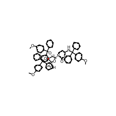 COc1ccc(C(Nc2ccn([C@@H]3O[C@H](C(C)O)[C@@H](OC(c4ccccc4)(c4ccccc4)c4ccc(OC)cc4)[C@@H]3OC(c3ccccc3)(c3ccccc3)c3ccc(OC)cc3)c(=O)n2)(c2ccccc2)c2ccccc2)cc1